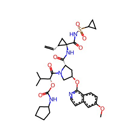 C=C[C@@H]1C[C@]1(NC(=O)[C@@H]1C[C@@H](Oc2nccc3cc(OC)ccc23)CN1C(=O)[C@H](OC(=O)NC1CCCC1)C(C)C)C(=O)NS(=O)(=O)C1CC1